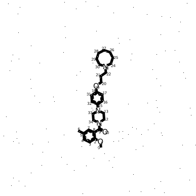 COc1ccc(C)cc1C(=O)N1CCN(c2ccc(OCCCN3CCCCCCC3)cc2)CC1